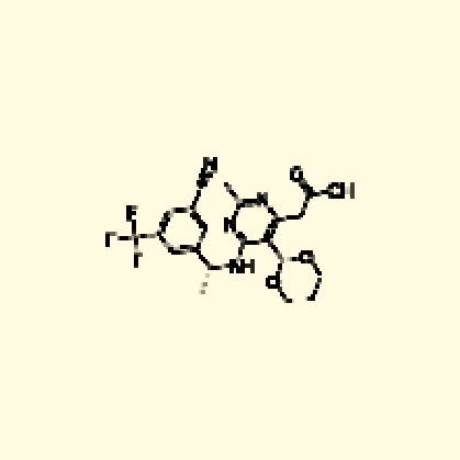 Cc1nc(CC(=O)O)c(C2OCCCO2)c(N[C@H](C)c2cc(C#N)cc(C(F)(F)F)c2)n1